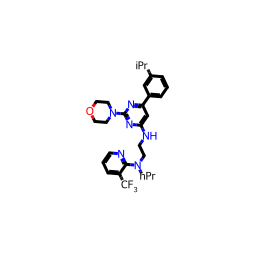 CCCN(CCNc1cc(-c2cccc(C(C)C)c2)nc(N2CCOCC2)n1)c1ncccc1C(F)(F)F